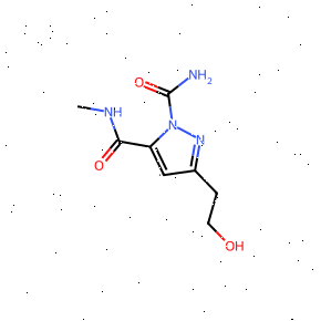 CNC(=O)c1[c]c(CCO)nn1C(N)=O